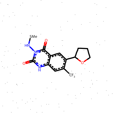 CSNn1c(=O)[nH]c2cc(C(F)(F)F)c(C3CCCO3)cc2c1=O